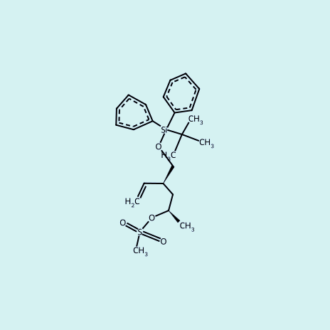 C=C[C@@H](CO[Si](c1ccccc1)(c1ccccc1)C(C)(C)C)C[C@@H](C)OS(C)(=O)=O